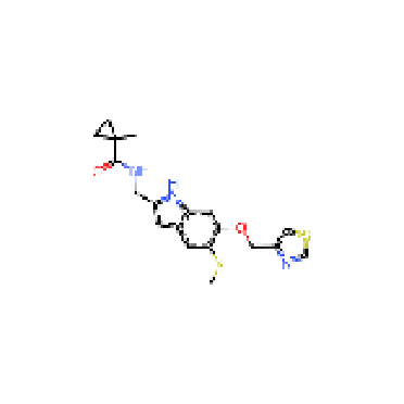 CSc1cc2cc(CNC(=O)C3(C)CC3)[nH]c2cc1OCc1cscn1